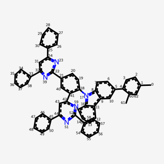 Cc1ccc(-c2ccc3c(c2)c2ccccc2n3-c2ccc(-c3nc(-c4ccccc4)cc(-c4ccccc4)n3)cc2-c2cc(-c3ccccc3)nc(-c3ccccc3)n2)c(C)c1